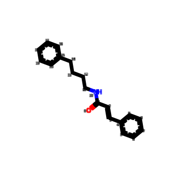 O=C(/C=C/c1ccccc1)NCCCCc1ccccc1